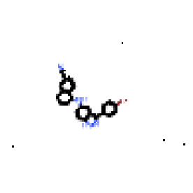 N#Cc1ccc2c(c1)CCCC2Nc1ccc2[nH]nc(-c3ccc(Br)cc3)c2c1